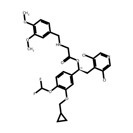 COc1ccc(CNCC(=O)O[C@@H](Cc2c(Cl)cncc2Cl)c2ccc(OC(F)F)c(OCC3CC3)c2)cc1OC